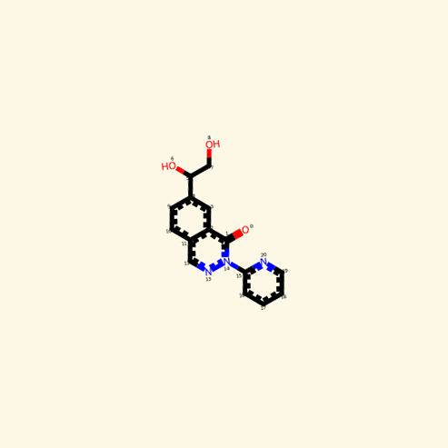 O=c1c2cc(C(O)CO)ccc2cnn1-c1ccccn1